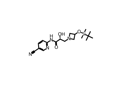 CC(C)(C)[Si](C)(C)OC1CN(C[C@H](O)C(=O)Nc2ccc(C#N)cn2)C1